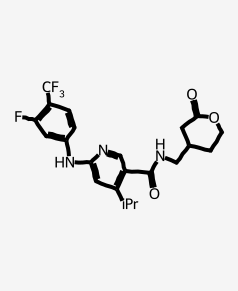 CC(C)c1cc(Nc2ccc(C(F)(F)F)c(F)c2)ncc1C(=O)NCC1CCOC(=O)C1